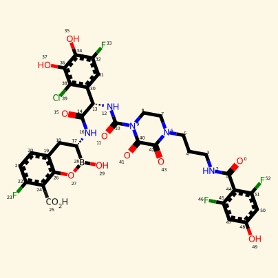 O=C(NCCCN1CCN(C(=O)N[C@H](C(=O)N[C@H]2Cc3ccc(F)c(C(=O)O)c3OB2O)c2cc(F)c(O)c(O)c2Cl)C(=O)C1=O)c1c(F)cc(O)cc1F